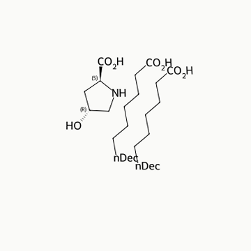 CCCCCCCCCCCCCCCC(=O)O.CCCCCCCCCCCCCCCC(=O)O.O=C(O)[C@@H]1C[C@@H](O)CN1